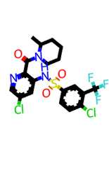 CC1CCCCN1C(=O)c1ncc(Cl)cc1NS(=O)(=O)c1ccc(Cl)c(C(F)(F)F)c1